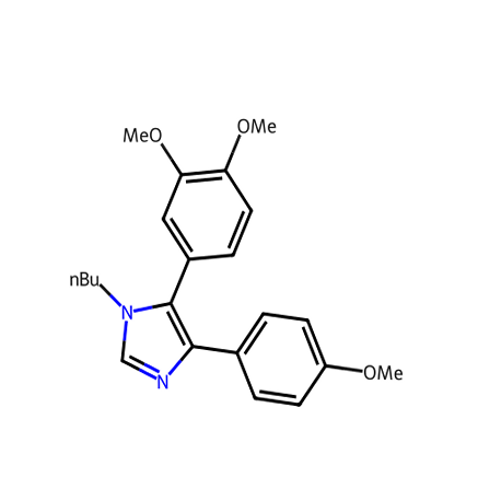 CCCCn1cnc(-c2ccc(OC)cc2)c1-c1ccc(OC)c(OC)c1